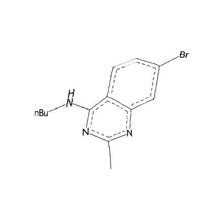 CCCCNc1nc(C)nc2cc(Br)ccc12